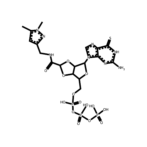 Cc1cc(CNC(=O)C2OC3C(COP(=O)(O)OP(=O)(O)OP(=O)(O)O)OC(n4cnc5c(=S)[nH]c(N)nc54)C3O2)nn1C